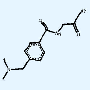 CC(C)C(=O)CNC(=O)c1ccc(CN(C)C)cc1